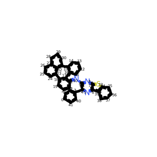 c1ccc(-c2nc3c(nc2-n2c4cccc5c4c4c(cccc42)-c2cccc4cccc-5c24)sc2ccccc23)cc1